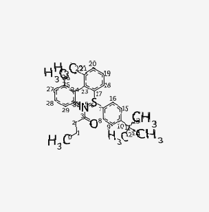 CCCC(=O)/N=S(\c1ccc(C(C)(C)C)cc1)c1cccc(C)c1-c1c(C)cccc1I